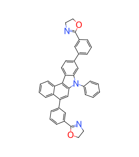 c1ccc(-n2c3cc(-c4cccc(C5=NCCO5)c4)ccc3c3c4ccccc4c(-c4cccc(C5=NCCO5)c4)cc32)cc1